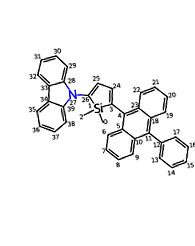 C[Si]1(C)C(c2c3ccccc3c(-c3ccccc3)c3ccccc23)=CC=C1n1c2ccccc2c2ccccc21